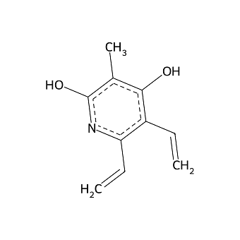 C=Cc1nc(O)c(C)c(O)c1C=C